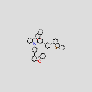 c1cc(-c2cccc(N(c3ccc(-c4cccc5oc6ccccc6c45)cc3)c3ccccc3-c3ccc4ccccc4c3)c2)cc(-c2cccc3c2sc2ccccc23)c1